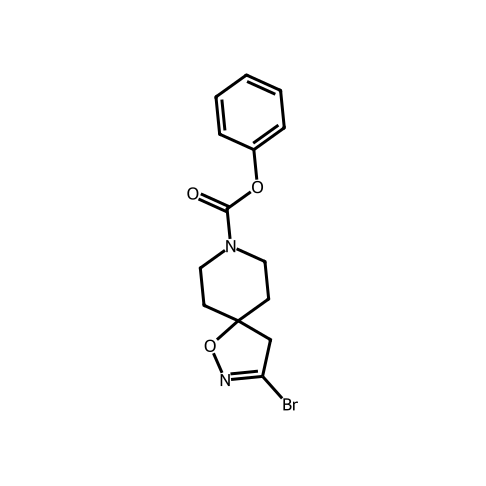 O=C(Oc1ccccc1)N1CCC2(CC1)CC(Br)=NO2